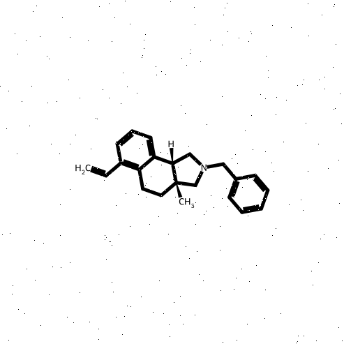 C=Cc1cccc2c1CC[C@@]1(C)CN(Cc3ccccc3)C[C@@H]21